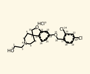 Cl.OCCN1CCC2(CC1)COc1cc(OCc3ccc(Cl)cc3Cl)ccc12